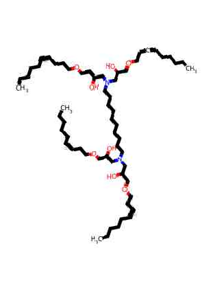 CCCCCC=C=CCOCC(O)CN(CCCCCCCCCCN(CC(O)COCC/C=C\CCCCC)CC(O)COCC/C=C\CCCCC)CC(O)CCOCCC/C=C\CCCCC